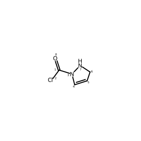 O=C(Cl)N1C=CCN1